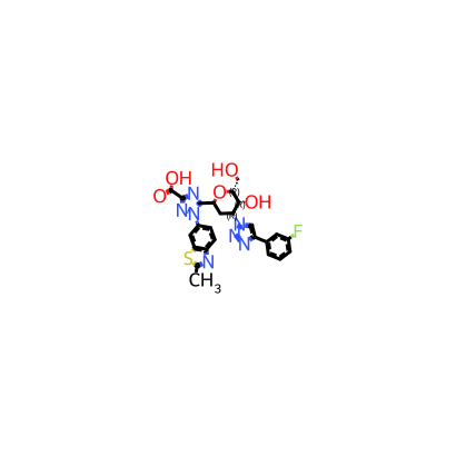 Cc1nc2ccc(-n3nc(C(=O)O)nc3C3C[C@@H](n4cc(-c5cccc(F)c5)nn4)[C@@H](O)[C@@H](CO)O3)cc2s1